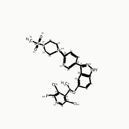 C[C@@H](Oc1ccc2[nH]nc(-c3ccc(N4CCN(S(C)(=O)=O)CC4)nc3)c2c1)c1c(Cl)cnc(F)c1Cl